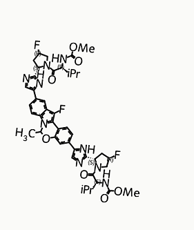 COC(=O)N[C@H](C(=O)N1C[C@H](F)C[C@H]1c1ncc(-c2ccc3c(c2)OC(C)n2c-3c(F)c3cc(-c4cnc([C@@H]5C[C@@H](F)CN5C(=O)[C@@H](NC(=O)OC)C(C)C)[nH]4)ccc32)[nH]1)C(C)C